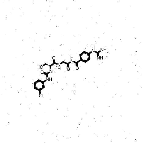 N=C(N)Nc1ccc(C(=O)NC(=O)CNC(=O)[C@H](CO)NC(=O)Nc2cccc(Cl)c2)cc1